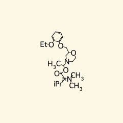 CCOc1ccccc1OCC1CN(C(C)OC(=O)[C@H](C(C)C)N(C)C)CCO1